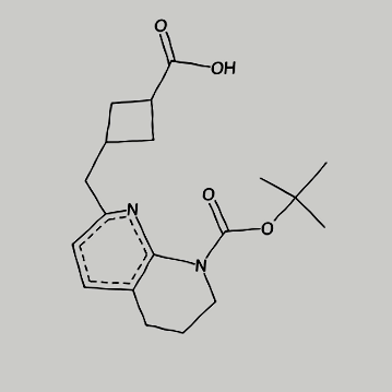 CC(C)(C)OC(=O)N1CCCc2ccc(CC3CC(C(=O)O)C3)nc21